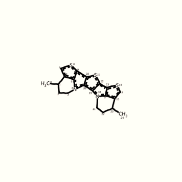 CC1CCn2c3c1csc3c1sc3c4scc5c4n(c3c12)CCC5C